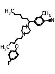 CCCCCC(c1ccc(C#N)c(C)c1)N1CCN(CCC(CC)Oc2ccc(F)cc2)CC1